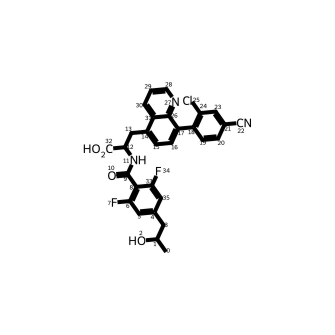 CC(O)Cc1cc(F)c(C(=O)NC(Cc2ccc(-c3ccc(C#N)cc3Cl)c3ncccc23)C(=O)O)c(F)c1